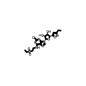 CCc1cc([C@H]2O[C@@H](n3cnc4c(NCCS(=O)(=O)CC)nc(Cl)nc43)[C@@H](O)[C@H]2O)on1